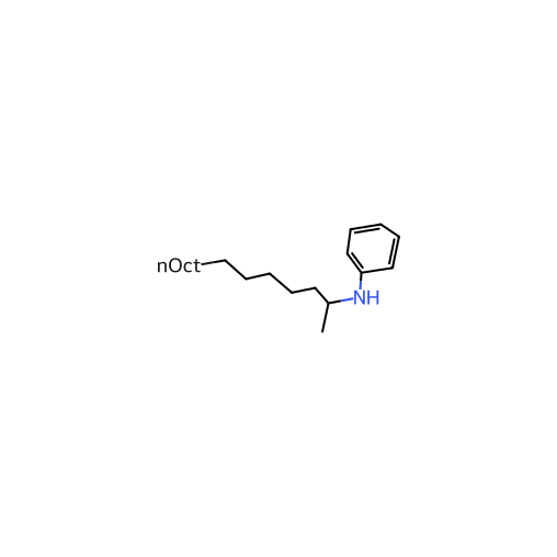 CCCCCCCCCCCCCC(C)Nc1ccccc1